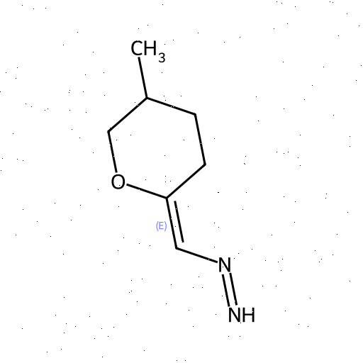 CC1CC/C(=C\N=N)OC1